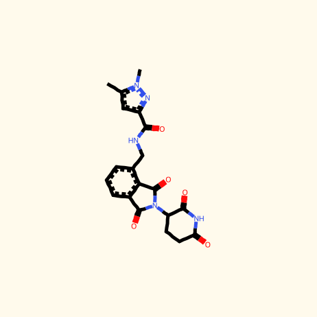 Cc1cc(C(=O)NCc2cccc3c2C(=O)N(C2CCC(=O)NC2=O)C3=O)nn1C